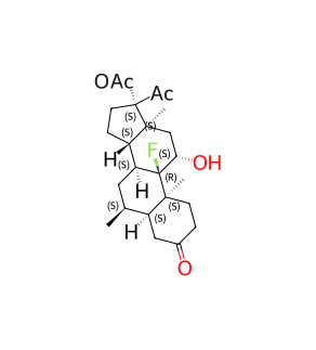 CC(=O)O[C@@]1(C(C)=O)CC[C@H]2[C@@H]3C[C@H](C)[C@@H]4CC(=O)CC[C@]4(C)[C@@]3(F)[C@@H](O)C[C@@]21C